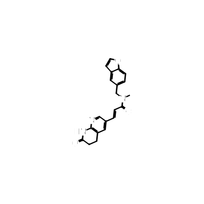 CN(Cc1ccc2occc2c1)C(=O)/C=C/c1cnc2c(c1)CCC(=O)N2